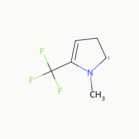 CN1[C]CC=C1C(F)(F)F